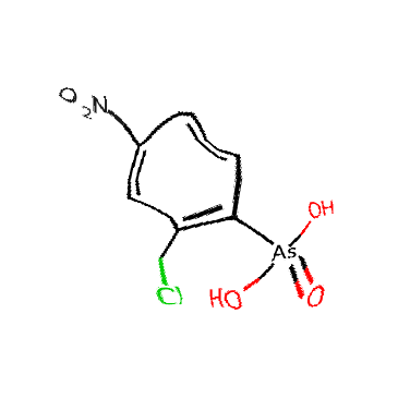 O=[N+]([O-])c1ccc([As](=O)(O)O)c(Cl)c1